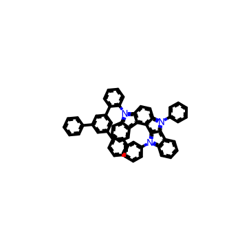 c1ccc(-c2cc(-c3ccccc3)cc(-c3ccccc3-n3c4ccccc4c4c5c(ccc43)n(-c3ccccc3)c3c4ccccc4n(-c4ccccc4)c53)c2)cc1